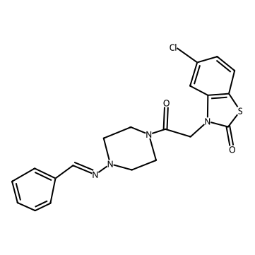 O=C(Cn1c(=O)sc2ccc(Cl)cc21)N1CCN(N=Cc2ccccc2)CC1